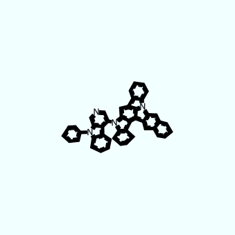 c1ccc(-n2c3ccccc3c3c(-n4c5ccccc5c5c6c7cc8ccccc8cc7n7c8ccccc8c(cc54)c67)cncc32)cc1